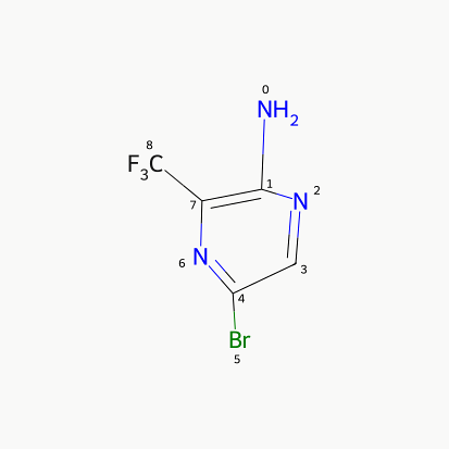 Nc1ncc(Br)nc1C(F)(F)F